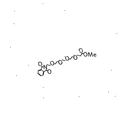 COC(=O)CCOCCOCCOCCOCCN1C(=O)c2ccccc2C1=O